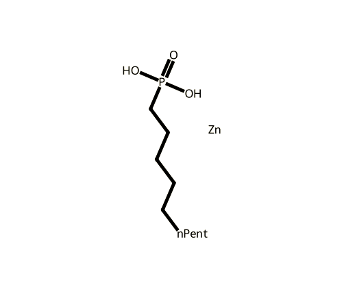 CCCCCCCCCCP(=O)(O)O.[Zn]